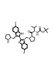 CC(C)[C@H](NC(=O)OC(C)(C)C)C(=O)N1CCC[C@H]1Cn1c(-c2[nH]c3cc(F)ccc3c2C[C@@H]2CCCN2)nc2cc(F)ccc21